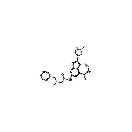 CN(CC(=O)Nc1cc2c3c(c(-c4cnn(C)c4)[nH]c3c1)C=NNC2=O)Cc1ccccc1